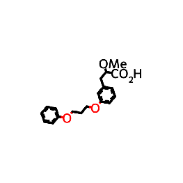 COC(Cc1cccc(OCCCOc2ccccc2)c1)C(=O)O